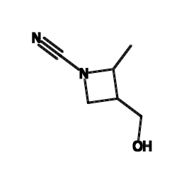 CC1C(CO)CN1C#N